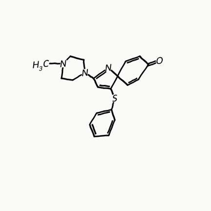 CN1CCN(C2=NC3(C=CC(=O)C=C3)C(Sc3ccccc3)=C2)CC1